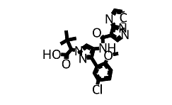 COc1ccc(Cl)cc1-c1nn(C(C(=O)O)C(C)(C)C)cc1NC(=O)c1cnn2cccnc12